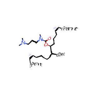 CCCCC/C=C\CCCC(CCCCCCCCCC)C(CCC/C=C\CCCCC)OC(=O)N(C)CCCN(C)C